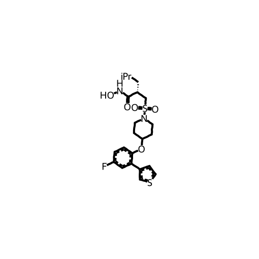 CC(C)C[C@H](CS(=O)(=O)N1CCC(Oc2ccc(F)cc2-c2ccsc2)CC1)C(=O)NO